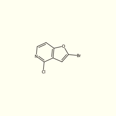 Clc1nccc2oc(Br)cc12